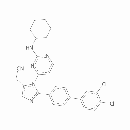 N#CCc1cnc(-c2ccc(-c3ccc(Cl)c(Cl)c3)cc2)n1-c1ccnc(NC2CCCCC2)n1